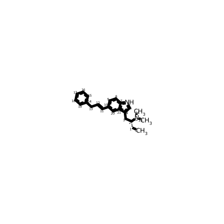 CC[C@H](Cc1c[nH]c2ccc(/C=C/Cc3ccccc3)cc12)N(C)C